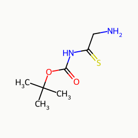 CC(C)(C)OC(=O)NC(=S)CN